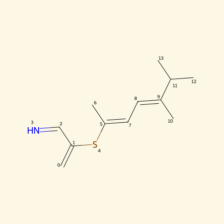 C=C(C=N)S/C(C)=C/C=C(\C)C(C)C